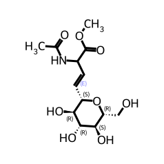 COC(=O)C(/C=C/[C@@H]1O[C@H](CO)[C@@H](O)[C@H](O)[C@H]1O)NC(C)=O